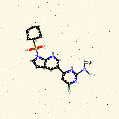 CC(C)(C)N(C(=O)O)c1nc(Cl)cc(-c2cnc3c(ccn3S(=O)(=O)c3ccccc3)c2)n1